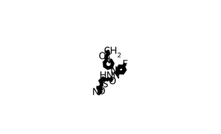 C=CC(=O)N1CCC[C@@H](n2c(NC(=O)c3ccc(-c4cnco4)s3)nc3ccc(F)cc32)CC1